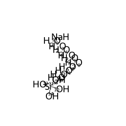 O.O.O.O.O.O.O.O.O.O.O[Si](O)(O)O.[NaH]